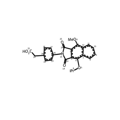 COc1c2c(c(OC(C)C)c3ccccc13)C(=O)N(c1ccc(CC(=O)O)cc1)C2=O